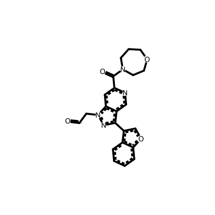 O=[C]Cn1nc(-c2coc3ccccc23)c2cnc(C(=O)N3CCCOCC3)cc21